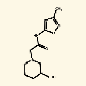 Cc1cc(NC(=O)CN2CCCC(C=O)C2)on1